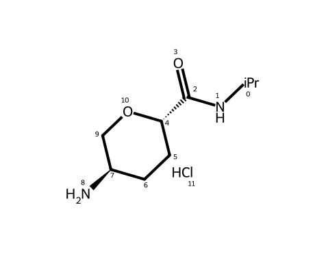 CC(C)NC(=O)[C@@H]1CC[C@@H](N)CO1.Cl